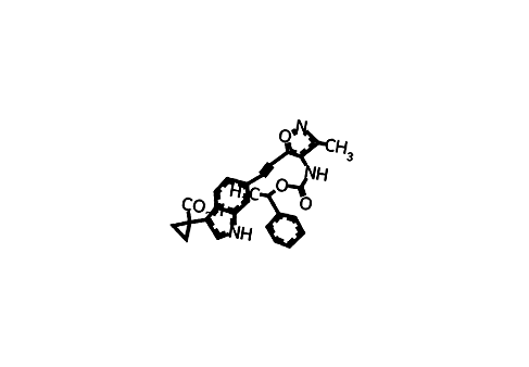 Cc1noc(C#Cc2ccc3c(C4(C(=O)O)CC4)c[nH]c3c2)c1NC(=O)OC(C)c1ccccc1